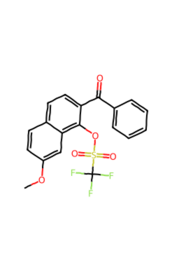 COc1ccc2ccc(C(=O)c3ccccc3)c(OS(=O)(=O)C(F)(F)F)c2c1